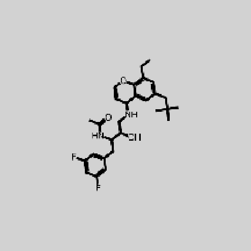 CCc1cc(CC(C)(C)C)cc2c1OC=CC2NCC(O)C(Cc1cc(F)cc(F)c1)NC(C)=O